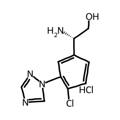 Cl.N[C@H](CO)c1ccc(Cl)c(-n2cncn2)c1